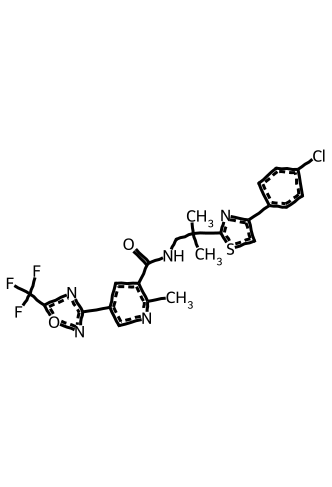 Cc1ncc(-c2noc(C(F)(F)F)n2)cc1C(=O)NCC(C)(C)c1nc(-c2ccc(Cl)cc2)cs1